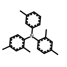 Cc1cccc(N(c2ccc(C)cc2C)c2ccc(C)cc2C)c1